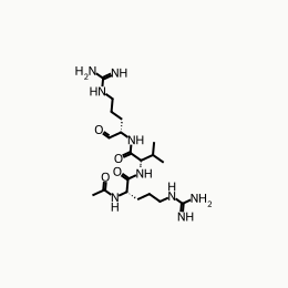 CC(=O)N[C@@H](CCCNC(=N)N)C(=O)N[C@H](C(=O)N[C@H](C=O)CCCNC(=N)N)C(C)C